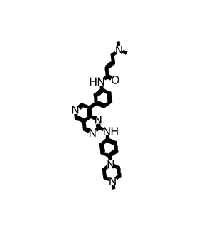 CN(C)CC=CC(=O)Nc1cccc(-c2cncc3cnc(Nc4ccc(N5CCN(C)CC5)cc4)nc23)c1